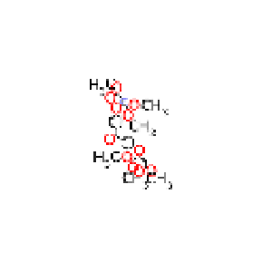 CCOC(OCC)C(=CC(=O)OC)Oc1ccc(C(=O)c2ccc(O/C(=C\C(=O)OC)C(OCC)OCC)cc2)cc1